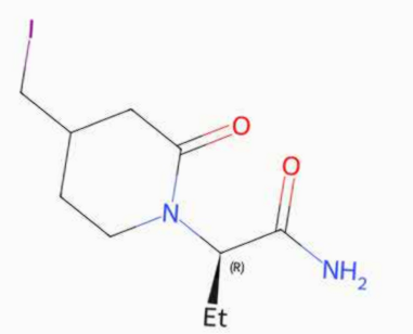 CC[C@H](C(N)=O)N1CCC(CI)CC1=O